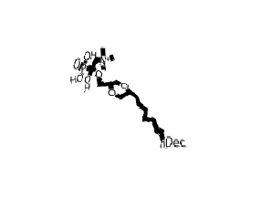 CCCCCCCCCCCCCCCCCC1COC(COC(O)(C[N+](C)(C)C)P(=O)(O)O)CO1